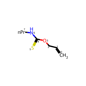 C=CCOC(=S)NCCC